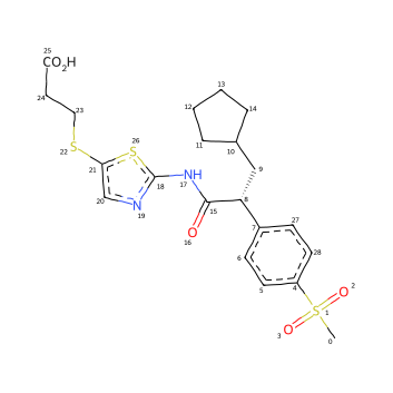 CS(=O)(=O)c1ccc([C@@H](CC2CCCC2)C(=O)Nc2ncc(SCCC(=O)O)s2)cc1